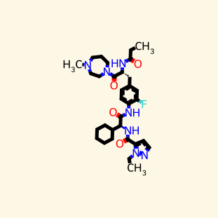 CCC(=O)N[C@H](Cc1ccc(NC(=O)[C@@H](NC(=O)c2ccnn2CC)C2CCCCC2)c(F)c1)C(=O)N1CCCN(C)CC1